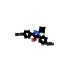 COc1ccc(-c2nn(C3CCC3)c(-c3ccc(OC)cc3)c2Br)cc1